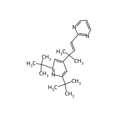 CC(C)(C)c1cc(C(C)(C)C=Cc2ncccn2)cc(C(C)(C)C)n1